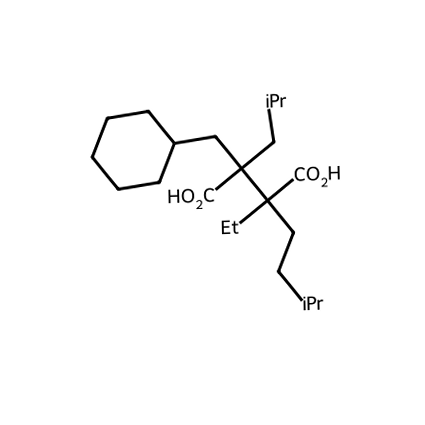 CCC(CCC(C)C)(C(=O)O)C(CC(C)C)(CC1CCCCC1)C(=O)O